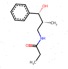 CCC(=O)NC[C@@H](C)[C@@H](O)c1ccccc1